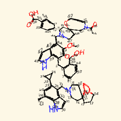 COc1cc(Cc2cc([C@@H]3CC4(CCCO4)CCN3Cc3c(C4CC4)cc(C)c4[nH]ccc34)ccc2C(=O)O)c2[nH]ccc2c1CN1CCC2(C[C@H]1c1ccc(C(=O)O)cc1)CN(C(C)=O)CCO2